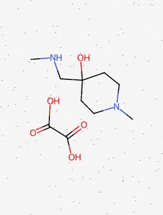 CNCC1(O)CCN(C)CC1.O=C(O)C(=O)O